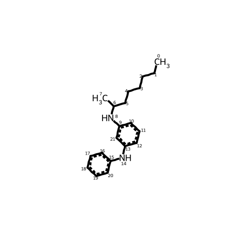 CCCCCCC(C)Nc1cccc(Nc2ccccc2)c1